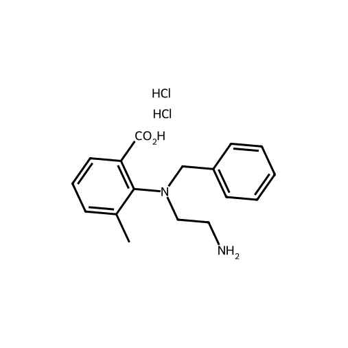 Cc1cccc(C(=O)O)c1N(CCN)Cc1ccccc1.Cl.Cl